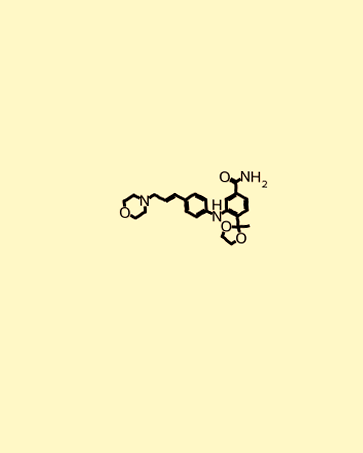 CC1(c2ccc(C(N)=O)cc2Nc2ccc(/C=C/CN3CCOCC3)cc2)OCCO1